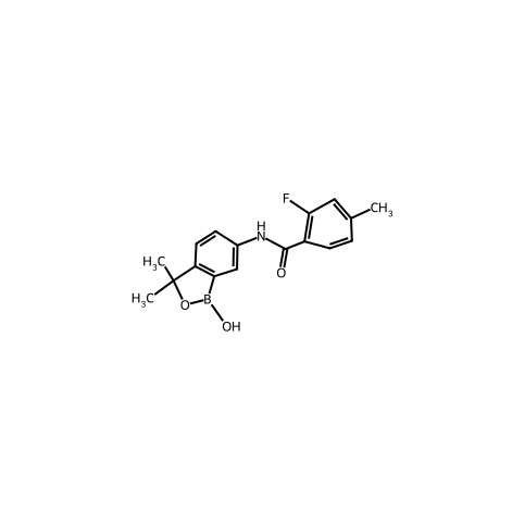 Cc1ccc(C(=O)Nc2ccc3c(c2)B(O)OC3(C)C)c(F)c1